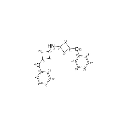 c1ccc(OC2CC(NC3CC(Oc4ccccc4)C3)C2)cc1